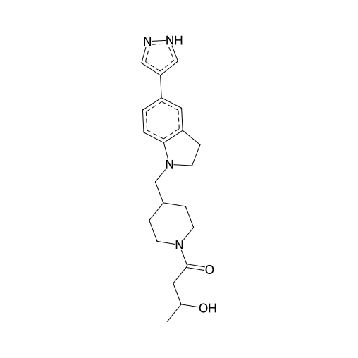 CC(O)CC(=O)N1CCC(CN2CCc3cc(-c4cn[nH]c4)ccc32)CC1